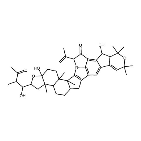 C=C(C)C1C(=O)c2c3c(cc4c5c(n1c24)C1(C)C(CCC2C4(C)CC(C(O)C(C)C(C)=O)OC4(O)CCC21C)C5)C1=CC(C)(C)OC(C)(C)C1C3O